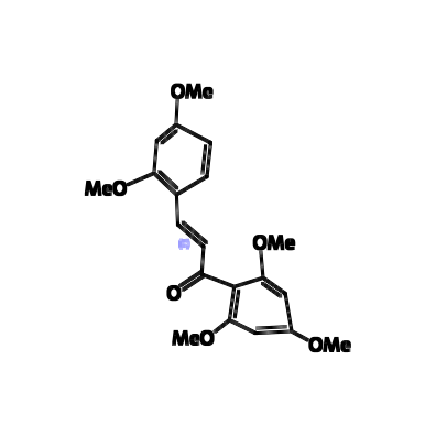 COc1ccc(/C=C/C(=O)c2c(OC)cc(OC)cc2OC)c(OC)c1